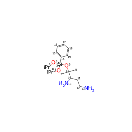 CC(C)O[Si](OC(C)C)(OC(C)(C)C(N)CCN)c1ccccc1